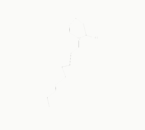 CCCCCCCCCN1CCCCC1O